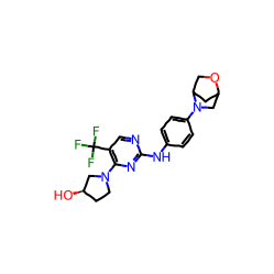 O[C@@H]1CCN(c2nc(Nc3ccc(N4CC5CC4CO5)cc3)ncc2C(F)(F)F)C1